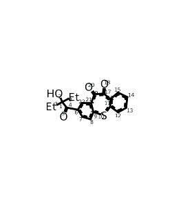 CCC(O)(CC)C(=O)c1ccc2sc3ccccc3c(=O)c(=O)c2c1